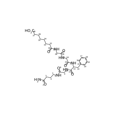 NC(=O)CCCNC(=O)CNC(=O)C(Cc1ccccc1)NC(=O)CNC(=O)CNC(=O)CCCCCCC(=O)O